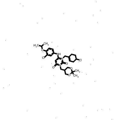 CC(C)Oc1ccc(Nc2cc(=O)n(CC3COC(C)(C)OC3)c(=O)n2CC2=CCC(Cl)CC2)cc1Cl